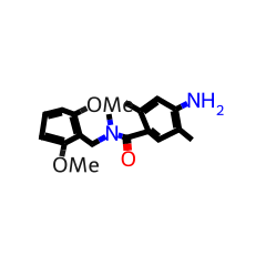 COc1cccc(OC)c1CN(C)C(=O)c1cc(C)c(N)cc1C